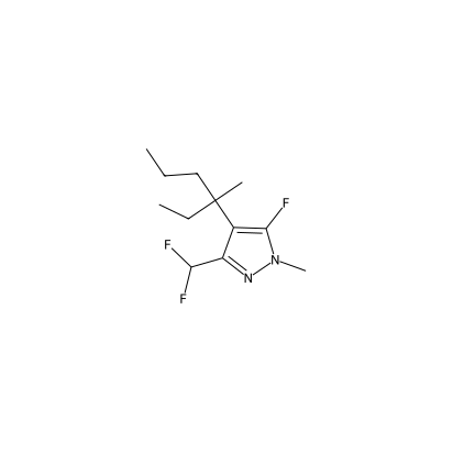 CCCC(C)(CC)c1c(C(F)F)nn(C)c1F